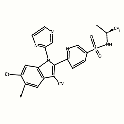 CCc1cc2c(cc1F)c(C#N)c(-c1ccc(S(=O)(=O)N[C@@H](C)C(F)(F)F)cn1)n2-c1cnccn1